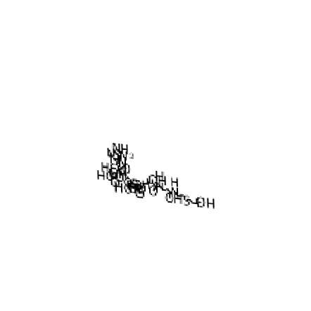 CC(C)(O)CCSCCNC(O)CCNC(=O)C(O)C(C)(C)COP(=O)(O)OP(=O)(O)OC[C@H]1O[C@@H](n2cnc3c(N)ncnc32)[C@H](O)[C@@H]1OP(=O)(O)O